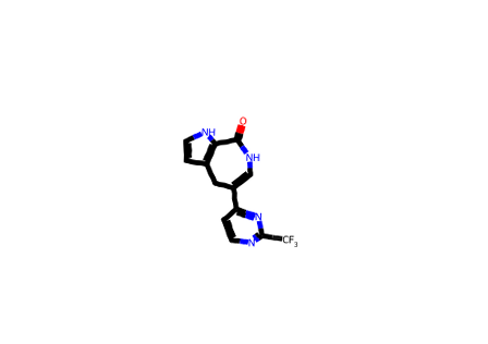 O=C1NC=C(c2ccnc(C(F)(F)F)n2)Cc2cc[nH]c21